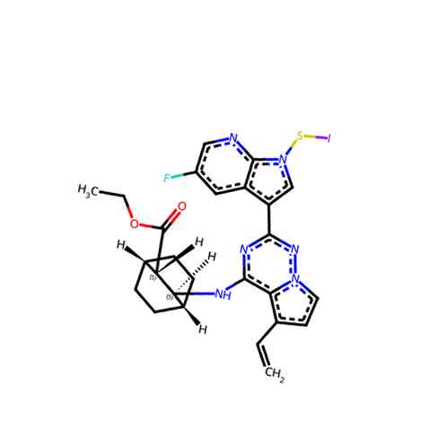 C=Cc1ccn2nc(-c3cn(SI)c4ncc(F)cc34)nc(N[C@H]3[C@H]4CC[C@H](CC4)[C@@H]3C(=O)OCC)c12